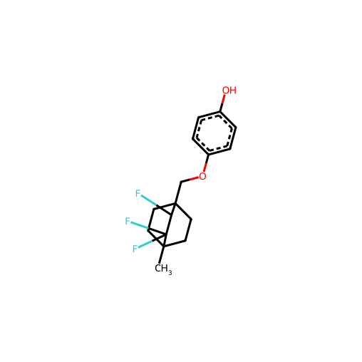 CC12CCC(COc3ccc(O)cc3)(CC1)C(F)C2(F)F